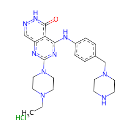 CCN1CCN(c2nc(Nc3ccc(CN4CCNCC4)cc3)c3c(=O)[nH]ncc3n2)CC1.Cl